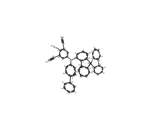 N#Cc1cc(N(c2ccc(-c3ccccc3)cc2)c2cccc3c2-c2ccccc2C32c3ccccc3-c3ccccc32)cc(C#N)c1F